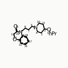 CCCOC1CCN(CCCN2C(=O)COc3ccccc32)CC1